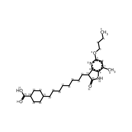 CCCCOc1cc(C)c2c(n1)C(CCCCCCCCC1CCC(C(=O)O)CC1)C(=O)N2